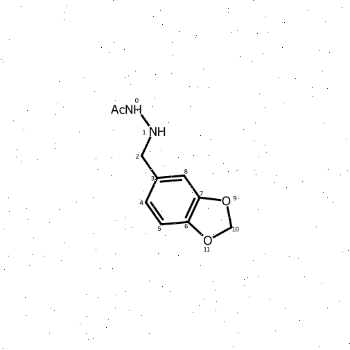 CC(=O)NNCc1ccc2c(c1)OCO2